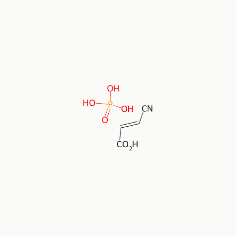 N#CC=CC(=O)O.O=P(O)(O)O